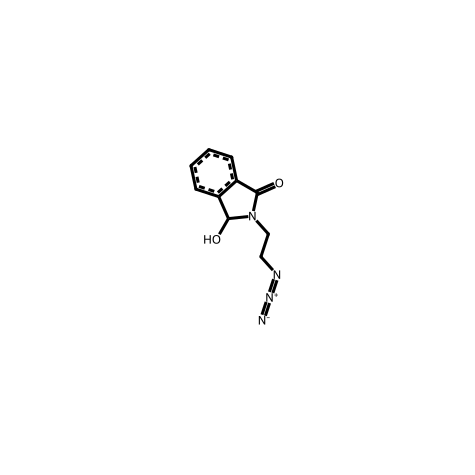 [N-]=[N+]=NCCN1C(=O)c2ccccc2C1O